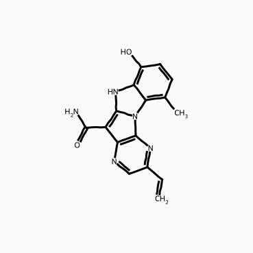 C=Cc1cnc2c(C(N)=O)c3[nH]c4c(O)ccc(C)c4n3c2n1